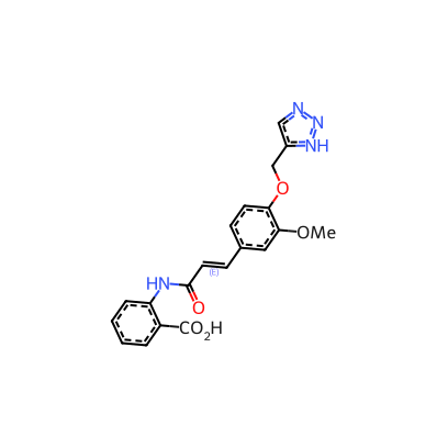 COc1cc(/C=C/C(=O)Nc2ccccc2C(=O)O)ccc1OCc1cnn[nH]1